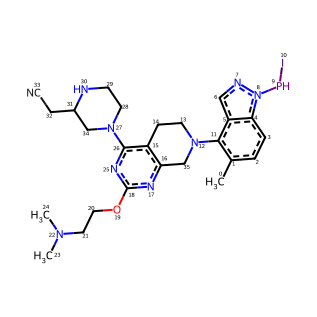 Cc1ccc2c(cnn2PI)c1N1CCc2c(nc(OCCN(C)C)nc2N2CCNC(CC#N)C2)C1